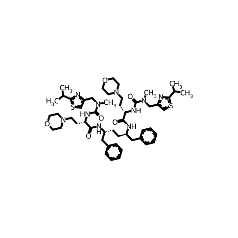 CC(C)c1nc(CN(C)C(=O)N[C@@H](CCN2CCOCC2)C(=O)N[C@H](CC[C@H](Cc2ccccc2)NC(=O)[C@H](CCN2CCOCC2)NC(=O)N(C)Cc2csc(C(C)C)n2)Cc2ccccc2)cs1